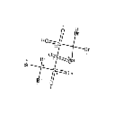 O=S(=O)(C(Br)(Br)Br)S(=O)(=O)S(=O)(=O)C(Br)(Br)Br